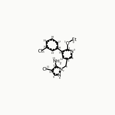 CCOc1ncc(Cn2ncc(Cl)c2N)cc1-c1cccc(Cl)c1